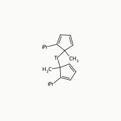 CC(C)C1=CC=C[C]1(C)[Ti][C]1(C)C=CC=C1C(C)C